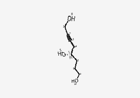 OCC#CC[C@@H](O)CCCO